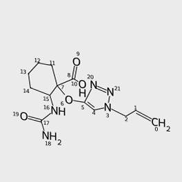 C=CCn1cc(OC2(C(=O)O)CCCCC2NC(N)=O)nn1